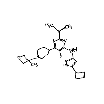 CC(C)c1nc(Nc2cc(C3CCC3)[nH]n2)c(F)c(N2CCN(C3(C)COC3)CC2)n1